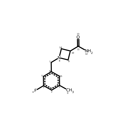 Cc1cc(F)cc(CN2CC(C(N)=O)C2)c1